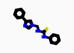 S=C(NCn1cnc(-c2ccccc2)c1)Nc1ccccc1